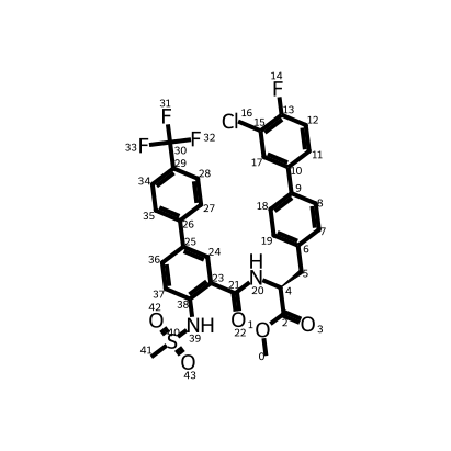 COC(=O)[C@H](Cc1ccc(-c2ccc(F)c(Cl)c2)cc1)NC(=O)c1cc(-c2ccc(C(F)(F)F)cc2)ccc1NS(C)(=O)=O